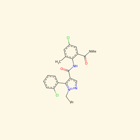 CNC(=O)c1cc(Cl)cc(C)c1NC(=O)c1cnn(CC(C)C)c1-c1ccccc1Cl